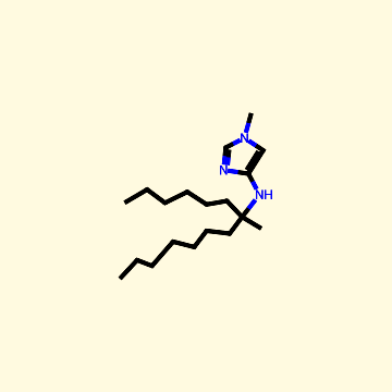 CCCCCCCC(C)(CCCCCC)Nc1cn(C)cn1